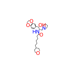 O=C(CCCCCC1CCOCC1)N[C@H](CN1CCCC1)[C@@H](O)c1ccc2c(c1)OCCO2